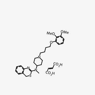 COc1cccc(OCCCCN2CCC(N(C)C3=Nc4ccccc4CS3)CC2)c1OC.O=C(O)C=CC(=O)O